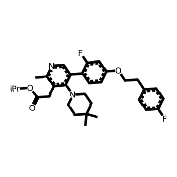 Cc1ncc(-c2ccc(OCCc3ccc(F)cc3)cc2F)c(N2CCC(C)(C)CC2)c1CC(=O)OC(C)C